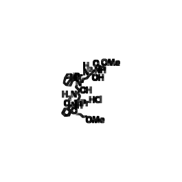 COCCCCOc1ccccc1C(=O)NC[C@@H](C[C@H](N)[C@@H](O)CN(C[C@@H](C[C@H](N)[C@@H](O)CNC(=O)C(C)OC)C(C)C)C(=O)C12CC3CC(CC(C3)C1)C2)C(C)C.Cl